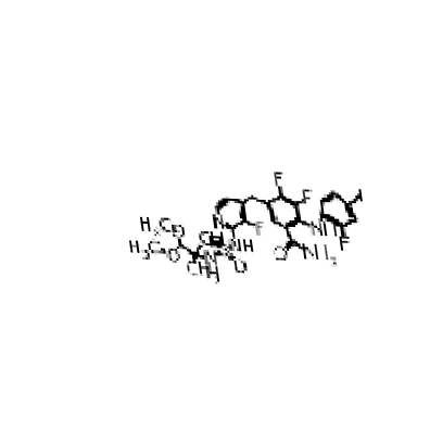 COC(OC)C(C)(C)NS(=O)(=O)Nc1nccc(Cc2cc(C(N)=O)c(Nc3ccc(I)cc3F)c(F)c2F)c1F